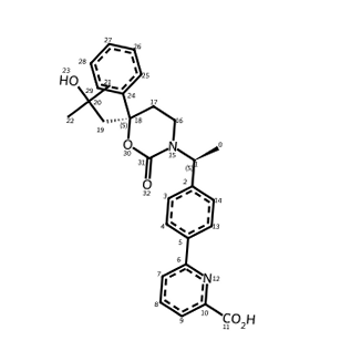 C[C@@H](c1ccc(-c2cccc(C(=O)O)n2)cc1)N1CC[C@](CC(C)(C)O)(c2ccccc2)OC1=O